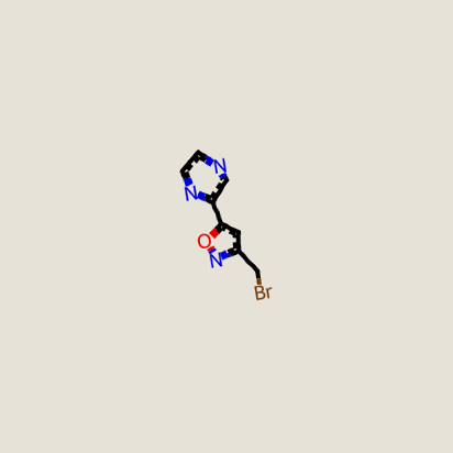 BrCc1cc(-c2cnccn2)on1